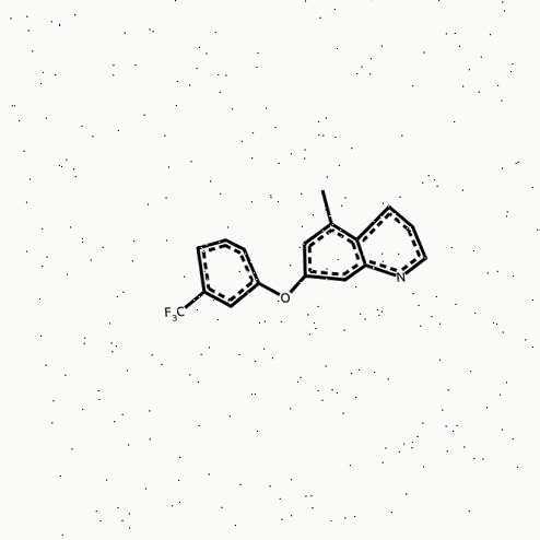 Cc1cc(Oc2cccc(C(F)(F)F)c2)cc2ncccc12